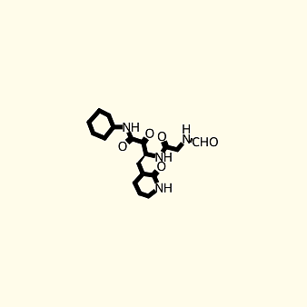 O=CNCC(=O)N[C@@H](CC1CCCNC1=O)C(=O)C(=O)NC1CCCCC1